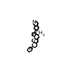 CC12CC=C3C=C4CCC(N5C6CCC5CC6)C[C@]45CC[C@]3(O5)[C@@H]1CCC2c1ccc2ccncc2c1